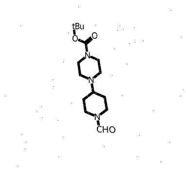 CC(C)(C)OC(=O)N1CCN(C2CCN(C=O)CC2)CC1